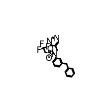 O=S(=O)(CC(F)(F)F)N(Cc1cncnc1)c1cccc(Cc2ccccc2)c1